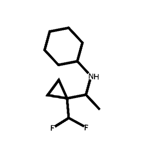 CC(NC1CCCCC1)C1(C(F)F)CC1